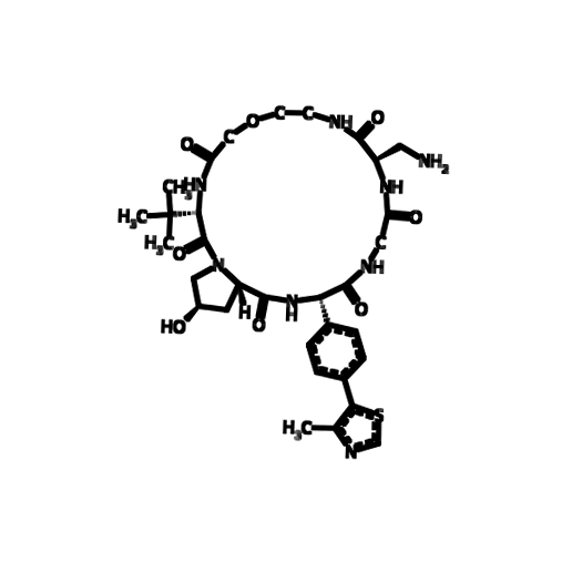 Cc1ncsc1-c1ccc([C@@H]2NC(=O)[C@@H]3C[C@@H](O)CN3C(=O)[C@H](C(C)(C)C)NC(=O)COCCNC(=O)[C@@H](CN)NC(=O)CNC2=O)cc1